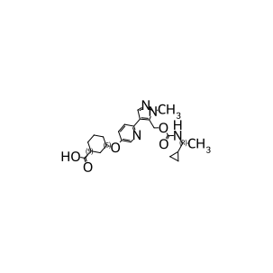 C[C@@H](NC(=O)OCc1c(-c2ccc(O[C@H]3CCC[C@H](C(=O)O)C3)cn2)cnn1C)C1CC1